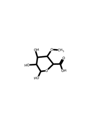 COC1C(C(=O)O)OC(O)C(O)C1O